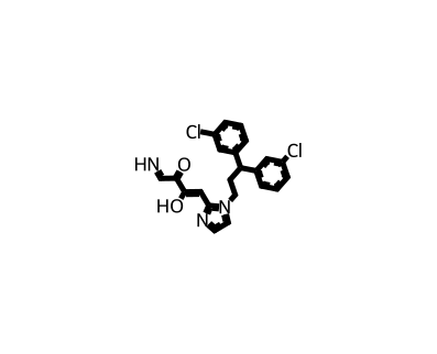 N=CC(=O)/C(O)=C/c1nccn1CCC(c1cccc(Cl)c1)c1cccc(Cl)c1